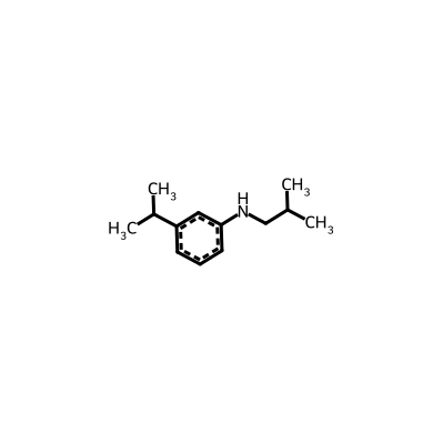 CC(C)CNc1cccc(C(C)C)c1